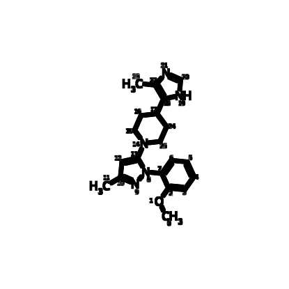 COc1ccccc1-n1nc(C)cc1N1CCC(c2[nH]cnc2C)CC1